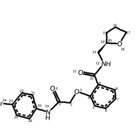 O=C(COc1ccccc1C(=O)NC[C@H]1CCCO1)Nc1ccc(Br)cc1